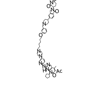 CC(=O)c1c(C)c2cnc(Nc3ccc(N4CCN(CCCCCCOc5cccc(CN6CCC(c7ccc8c(c7)CN(C7CCC(=O)NC7=O)C8=O)CC6)c5)CC4)cn3)nc2n(C2CCCC2)c1=O